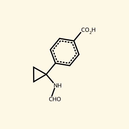 O=CNC1(c2ccc(C(=O)O)cc2)CC1